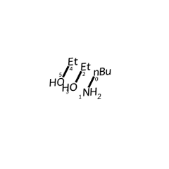 CCCCN.CCO.CCO